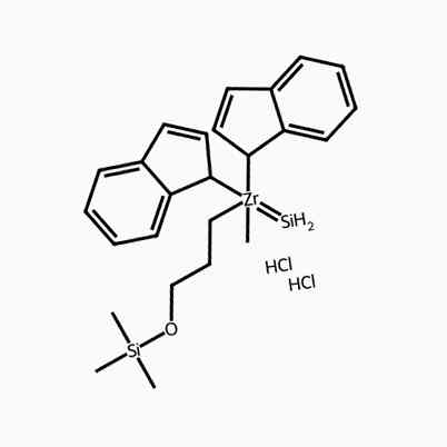 C[Si](C)(C)OCC[CH2][Zr]([CH3])(=[SiH2])([CH]1C=Cc2ccccc21)[CH]1C=Cc2ccccc21.Cl.Cl